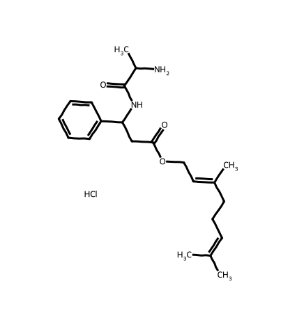 CC(C)=CCC/C(C)=C/COC(=O)CC(NC(=O)C(C)N)c1ccccc1.Cl